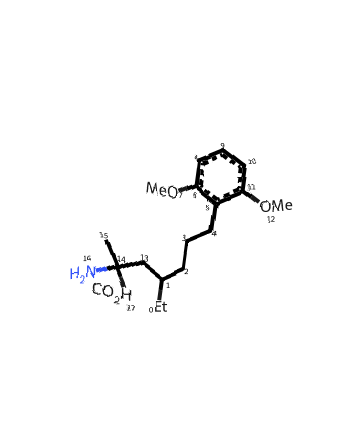 CCC(CCCc1c(OC)cccc1OC)CC(C)(N)C(=O)O